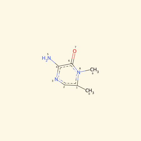 Cc1cnc(N)c(=O)n1C